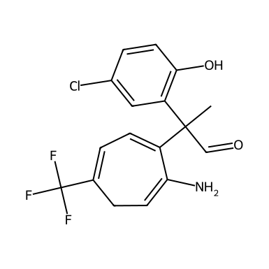 CC(C=O)(C1=CC=C(C(F)(F)F)CC=C1N)c1cc(Cl)ccc1O